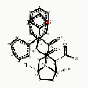 O=C(O)[C@@H]1[C@H]2CC[C@@H](CN1C(=O)C(c1ccccc1)c1ccccc1)N2C(=O)Oc1ccccc1